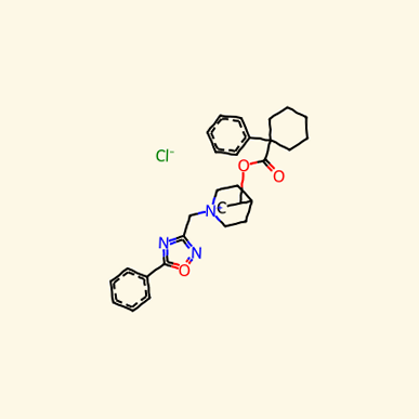 O=C(OC1C[N+]2(Cc3noc(-c4ccccc4)n3)CCC1CC2)C1(c2ccccc2)CCCCC1.[Cl-]